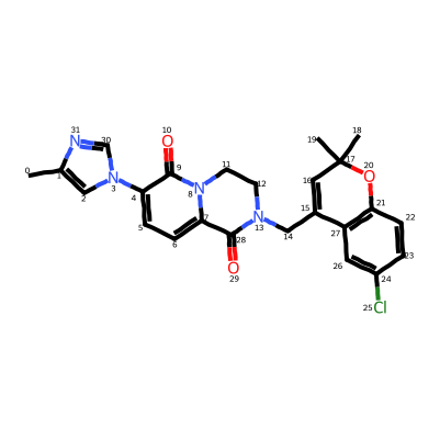 Cc1cn(-c2ccc3n(c2=O)CCN(CC2=CC(C)(C)Oc4ccc(Cl)cc42)C3=O)cn1